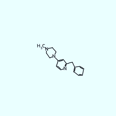 CN1CCN(c2ccnc(Cc3ccccc3)c2)CC1